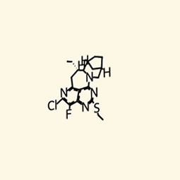 CCSc1nc2c3c(nc(Cl)c(F)c3n1)C[C@H](CC)[C@H]1[C@@H]3CC[C@@H](C3)CN21